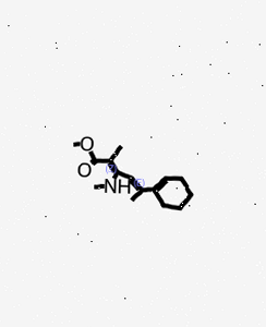 CNC(/C=C(\C)C1=CCCCC1)=C(/C)C(=O)OC